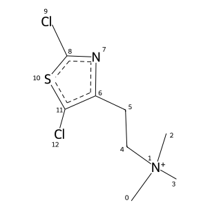 C[N+](C)(C)CCc1nc(Cl)sc1Cl